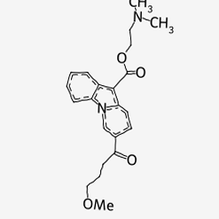 COCCCC(=O)c1ccc2c(C(=O)OCCN(C)C)c3ccccc3n2c1